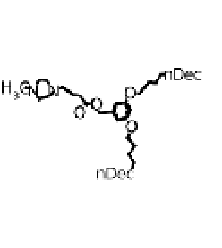 CCCCCCCCCCCCCCOc1cc(COC(=O)CCCN2CCN(C)CC2)cc(OCCCCCCCCCCCCCC)c1